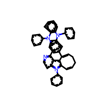 C1=C\c2c(c3c(-c4ccc(N(c5ccccc5)c5ccccc5)cc4)nccc3n2-c2ccccc2)/C(c2ccc(N(c3ccccc3)c3ccccc3)cc2)=C\CC/1